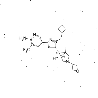 CC12CN(C3COC3)C[C@H]1[C@@H]2c1cc(-c2cnc(N)c(C(F)(F)F)c2)nn1CC1CCC1